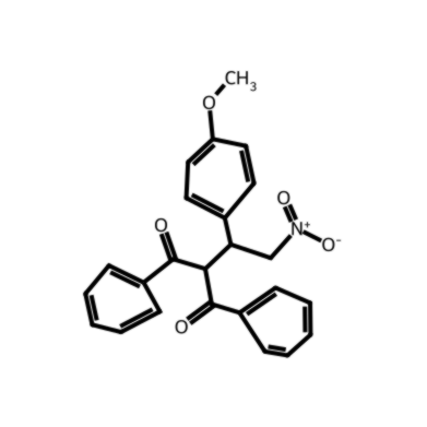 COc1ccc(C(C[N+](=O)[O-])C(C(=O)c2ccccc2)C(=O)c2ccccc2)cc1